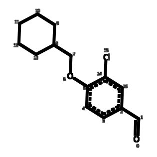 O=Cc1ccc(OCC2CCCCC2)c(Cl)c1